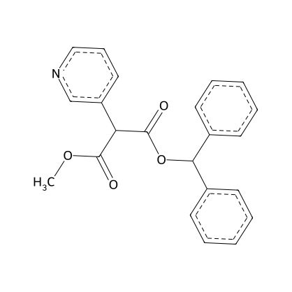 COC(=O)C(C(=O)OC(c1ccccc1)c1ccccc1)c1cccnc1